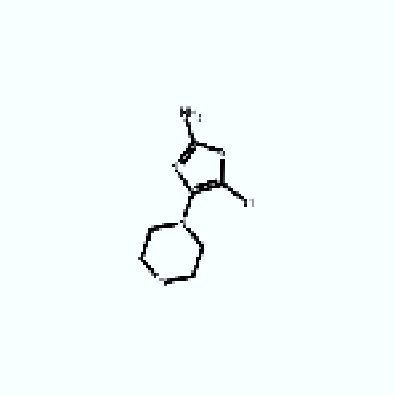 Nc1nc(N2CCOCC2)c(Cl)s1